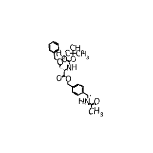 CC(=O)N[CH]c1ccc(COC(=O)[C@H](COCc2ccccc2)NC(=O)OC(C)(C)C)cc1